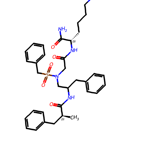 C[C@@H](Cc1ccccc1)C(=O)NC(Cc1ccccc1)CN(CC(=O)N[C@@H](CCCCN)C(N)=O)S(=O)(=O)Cc1ccccc1